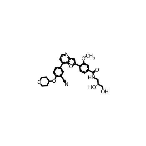 COc1cc(C(=O)NC[C@@H](O)CO)ccc1-c1cc2nccc(-c3ccc(OC4CCOCC4)c(C#N)c3)c2o1